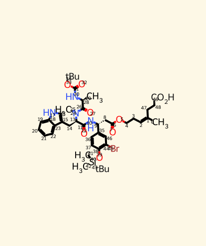 CC(=CCCOC(=O)C[C@@H](NC(=O)[C@@H](Cc1c[nH]c2ccccc12)N(C)C(=O)[C@H](C)NC(=O)OC(C)(C)C)c1ccc(O[Si](C)(C)C(C)(C)C)c(Br)c1)CCC(=O)O